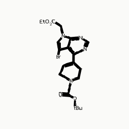 CCOC(=O)Cn1cc(Br)c2c(C3=CCN(C(=O)OC(C)(C)C)CC3)ncnc21